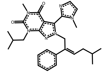 CC(C)C/C=C(\Cn1nc2c(c1-c1nccn1C)c(=O)n(C)c(=O)n2CC(C)C)c1ccccc1